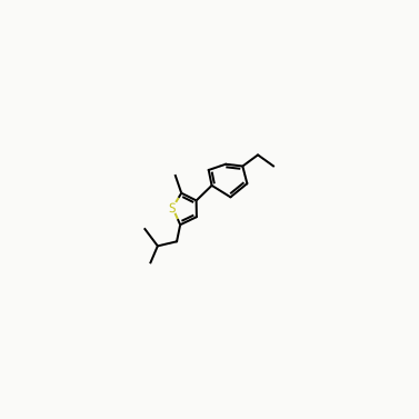 CCc1ccc(-c2cc(CC(C)C)sc2C)cc1